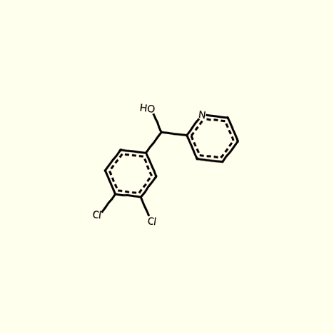 OC(c1ccc(Cl)c(Cl)c1)c1ccccn1